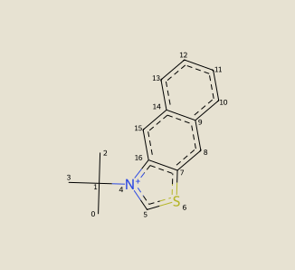 CC(C)(C)[n+]1csc2cc3ccccc3cc21